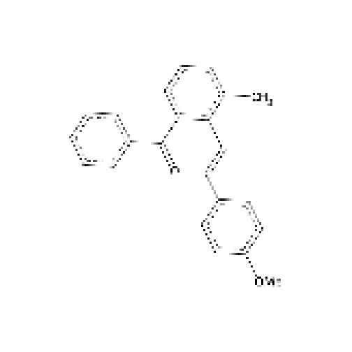 COc1ccc(C=Cc2c(C)cccc2C(=O)c2ccccc2)cc1